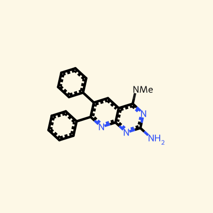 CNc1nc(N)nc2nc(-c3ccccc3)c(-c3ccccc3)cc12